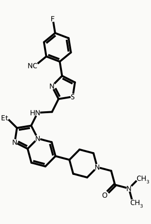 CCc1nc2ccc(C3CCN(CC(=O)N(C)C)CC3)cn2c1NCc1nc(-c2ccc(F)cc2C#N)cs1